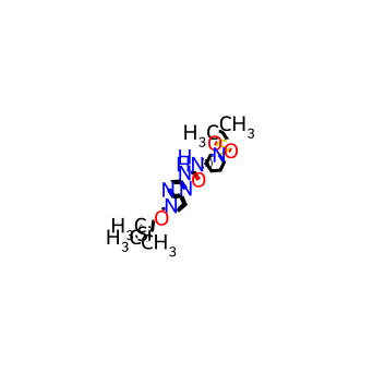 CC(C)CS(=O)(=O)N1CCC[C@H](NC(=O)Nc2cnc3c(ccn3COCC[Si](C)(C)C)n2)C1